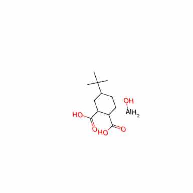 CC(C)(C)C1CCC(C(=O)O)C(C(=O)O)C1.[OH][AlH2]